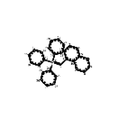 C(c1cccc2ccccc12)=P(c1ccccc1)(c1ccccc1)c1ccccc1